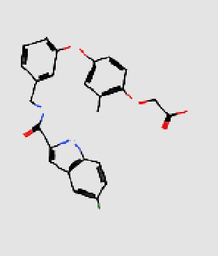 Cc1cc(Oc2cccc(CNC(=O)c3cc4cc(Cl)ccc4[nH]3)c2)ccc1OCC(=O)O